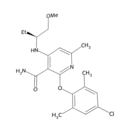 CC[C@@H](COC)Nc1cc(C)nc(Oc2c(C)cc(Cl)cc2C)c1C(N)=O